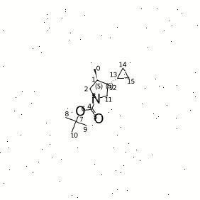 C[C@@H]1CN(C(=O)OC(C)(C)C)C[C@H]1C1CC1